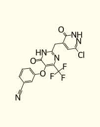 N#Cc1cccc(Oc2c(C(F)(F)F)nc(Cc3cc(Cl)n[nH]c3=O)[nH]c2=O)c1